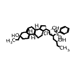 CC[C@@H](O)CC(C[C@@H](C)[C@H]1CCC2[C@@H]3CC=C4C[C@](O)(CC)CC[C@@H]4[C@H]3CC[C@@]21C)S(=O)(=O)c1ccccc1